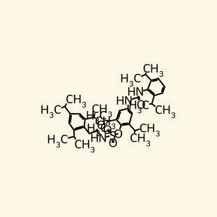 CC(C)c1cc(C(C)C)c(CC(=O)NS(=O)(=O)Oc2c(C(C)C)cc(NC(=O)Nc3c(C(C)C)cccc3C(C)C)cc2C(C)C)c(C(C)C)c1